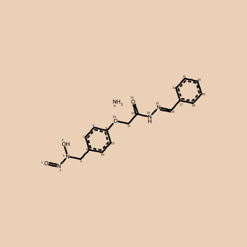 N.O=NN(O)Cc1ccc(OCC(=O)NN=Cc2ccccc2)cc1